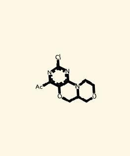 CC(=O)c1nc(Cl)nc2c1OCC1COCCN21